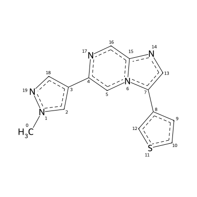 Cn1cc(-c2cn3c(-c4ccsc4)cnc3cn2)cn1